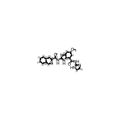 COc1cc(C(=O)Nc2ncc[nH]2)c2[nH]c(NC(=O)c3cc4ccccc4cn3)nc2c1